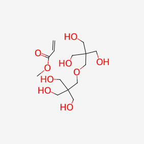 C=CC(=O)OC.OCC(CO)(CO)COCC(CO)(CO)CO